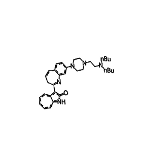 CCCCN(CCCC)CCN1CCN(c2ccc3c(c2)N=C(c2c4cccccc-4[nH]c2=O)CC=C3)CC1